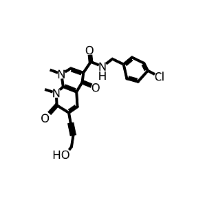 Cn1cc(C(=O)NCc2ccc(Cl)cc2)c(=O)c2cc(C#CCO)c(=O)n(C)c21